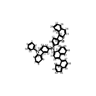 c1ccc(-n2c3ccccc3c3cc(N(c4ccc5c(c4)sc4ccc6ccccc6c45)c4ccc(-c5cccc6ccccc56)c5ccccc45)ccc32)cc1